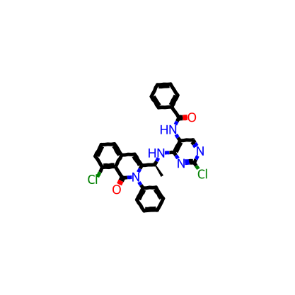 C[C@H](Nc1nc(Cl)ncc1NC(=O)c1ccccc1)c1cc2cccc(Cl)c2c(=O)n1-c1ccccc1